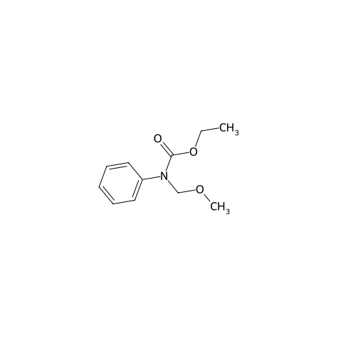 CCOC(=O)N(COC)c1ccccc1